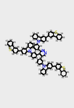 c1cc(-c2cnnc(-c3cccc(-n4c5ccccc5c5cc(-c6ccc7sc8ccccc8c7c6)ccc54)c3)c2-c2cccc(-n3c4ccccc4c4cc(-c5ccc6sc7ccccc7c6c5)ccc43)c2)cc(-n2c3ccccc3c3cc(-c4ccc5c(c4)C4CCCCC4S5)ccc32)c1